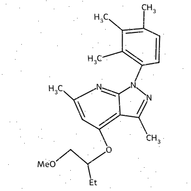 CCC(COC)Oc1cc(C)nc2c1c(C)nn2-c1ccc(C)c(C)c1C